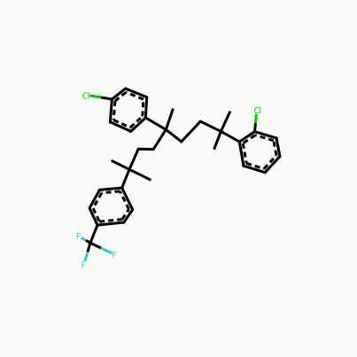 CC(C)(CCC(C)(CCC(C)(C)c1ccccc1Cl)c1ccc(Cl)cc1)c1ccc(C(F)(F)F)cc1